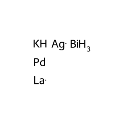 [Ag].[BiH3].[KH].[La].[Pd]